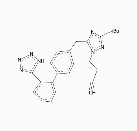 C#CCCn1nc(C(C)CC)nc1Cc1ccc(-c2ccccc2-c2nnn[nH]2)cc1